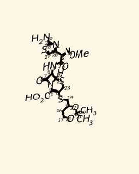 CO/N=C(\C(=O)NC1C(=O)N2C(C(=O)O)=C(SCC3CCOC(C)(C)O3)CS[C@@H]12)c1csc(N)n1